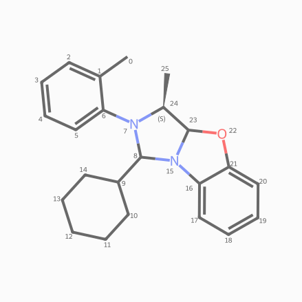 Cc1ccccc1N1C(C2CCCCC2)N2c3ccccc3OC2[C@@H]1C